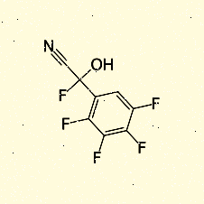 N#CC(O)(F)c1cc(F)c(F)c(F)c1F